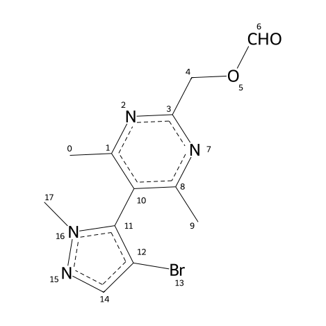 Cc1nc(COC=O)nc(C)c1-c1c(Br)cnn1C